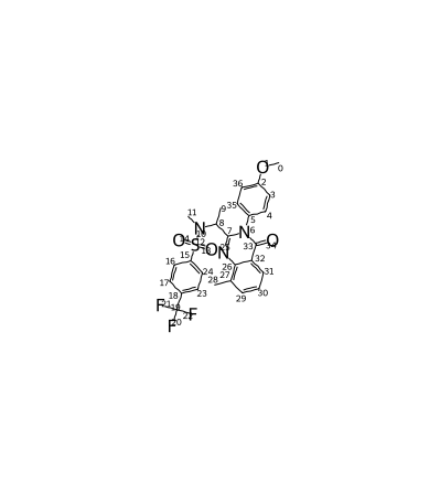 COc1ccc(-n2c(C(C)N(C)S(=O)(=O)c3ccc(C(F)(F)F)cc3)nc3c(C)cccc3c2=O)cc1